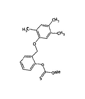 COC(=S)Oc1ccccc1COc1cc(C)c(C)cc1C